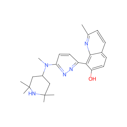 Cc1ccc2ccc(O)c(-c3ccc(N(C)C4CC(C)(C)NC(C)(C)C4)nn3)c2n1